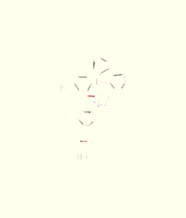 CC(C)(C)OC(=O)Oc1ccc(N2CC[C@@H]([P+](c3ccccc3)(c3ccccc3)c3ccccc3)C2=O)c(F)c1.[Br-]